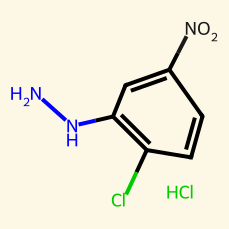 Cl.NNc1cc([N+](=O)[O-])ccc1Cl